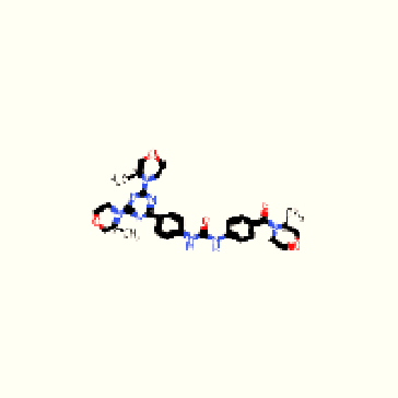 C[C@H]1COCCN1C(=O)c1ccc(NC(=O)Nc2ccc(-c3nc(N4CCOC[C@@H]4C)nc(N4CCOC[C@@H]4C)n3)cc2)cc1